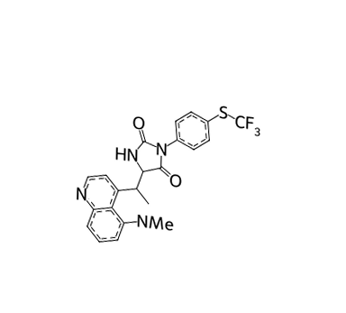 CNc1cccc2nccc(C(C)C3NC(=O)N(c4ccc(SC(F)(F)F)cc4)C3=O)c12